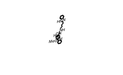 CO[C@]1(c2ccccc2)C[C@H]2CC[C@@H]1C[C@@]2(O)CCNCCCCc1nc2ccccc2[nH]1